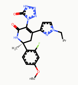 CCCCOc1ccc([C@]2(C)CC(c3ccn(CC(C)C)n3)=C(n3nn[nH]c3=O)C(=O)N2)c(F)c1